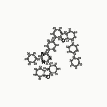 c1ccc(-c2ccc(-c3cccc4c3oc3c(-c5ccc(-c6nc(-c7ccccc7)nc(-c7cccc8oc9ccccc9c78)n6)cc5)cccc34)cc2)cc1